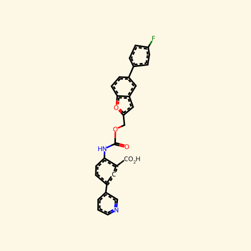 O=C(Nc1ccc(-c2cccnc2)cc1C(=O)O)OCc1cc2cc(-c3ccc(F)cc3)ccc2o1